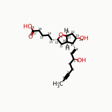 CC#CCC[C@H](O)C=C[C@@H]1[C@H]2C[C@H](CCCCC(=O)O)O[C@H]2C[C@H]1O